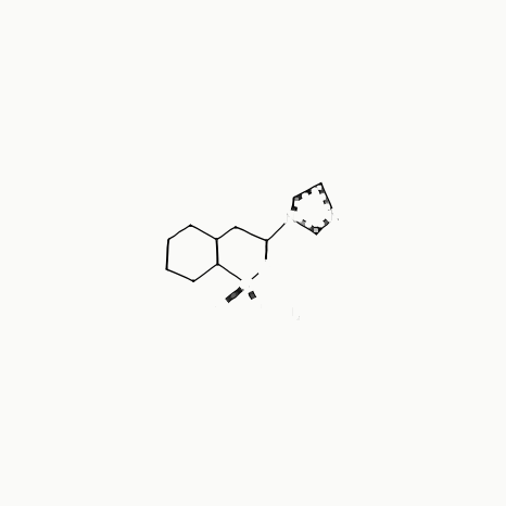 C.O=S1(=O)OC(n2ccnc2)CC2CCCCC21